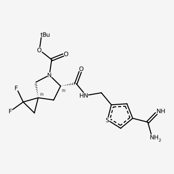 CC(C)(C)OC(=O)N1C[C@]2(C[C@H]1C(=O)NCc1cc(C(=N)N)cs1)CC2(F)F